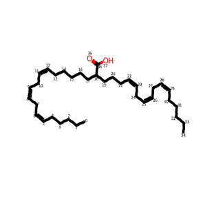 CCCCC/C=C\C/C=C\C/C=C\CCCCCC(CCC/C=C\C/C=C\C/C=C\CCCCC)C(=O)O